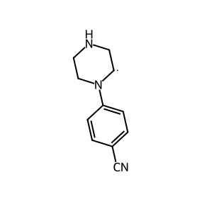 N#Cc1ccc(N2[CH]CNCC2)cc1